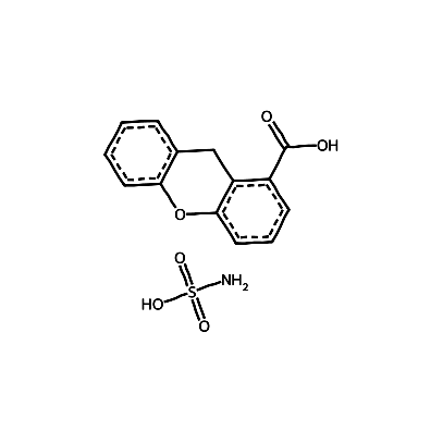 NS(=O)(=O)O.O=C(O)c1cccc2c1Cc1ccccc1O2